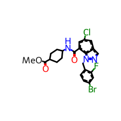 COC(=O)C1CCC(NC(=O)c2cc(Cl)cc3cnn(Cc4ccc(Br)cc4F)c23)CC1